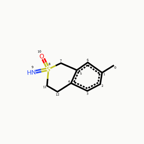 Cc1ccc2c(c1)CS(=N)(=O)CC2